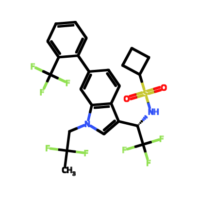 CC(F)(F)Cn1cc([C@H](NS(=O)(=O)C2CCC2)C(F)(F)F)c2ccc(-c3ccccc3C(F)(F)F)cc21